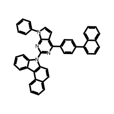 c1ccc(-n2ccc3c(-c4ccc(-c5cccc6ccccc56)cc4)nc(-n4c5ccccc5c5c6ccccc6ccc54)nc32)cc1